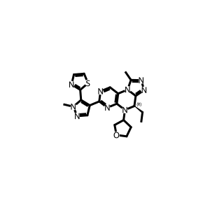 CC[C@@H]1c2nnc(C)n2-c2cnc(-c3cnn(C)c3-c3nccs3)nc2N1C1CCOC1